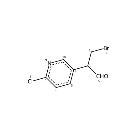 O=CC(CBr)c1ccc(Cl)nc1